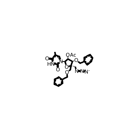 CC(=O)O[C@H]1[C@H](n2cc(C)c(=O)[nH]c2=O)O[C@](CN=[N+]=[N-])(COCc2ccccc2)[C@H]1OCc1ccccc1